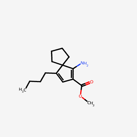 CCCCC1=CC(C(=O)OC)=C(N)C12CCCC2